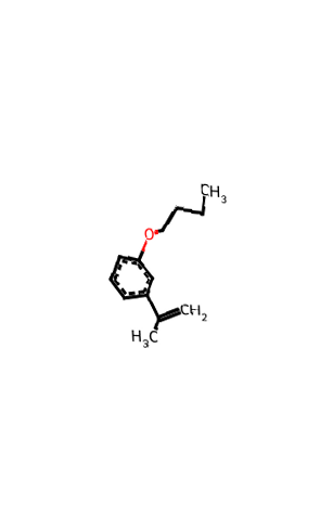 C=C(C)c1cccc(OCCCC)c1